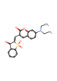 CCN(CC)c1ccc2cc(/C=C3/C(=O)c4ccccc4S3(=O)=O)c(=O)oc2c1